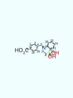 O=C(O)c1ccc(CN2CCS(O)(O)c3ccccc32)cc1